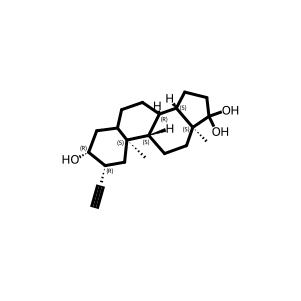 C#C[C@H]1C[C@@]2(C)C(CC[C@@H]3[C@@H]2CC[C@@]2(C)[C@H]3CCC2(O)O)C[C@H]1O